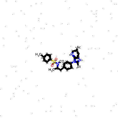 CCc1nc2cc(C(C)=O)cnc2n1-c1ccc(CC(C)N(C(=O)O)S(=O)(=O)c2ccc(C)cc2)cc1